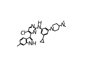 Cc1ccc2c(-c3nc(Nc4cc(C5CC5)cc(N5CCC(N(C)C)CC5)c4)ncc3Cl)c[nH]c2c1